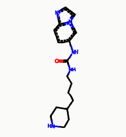 O=C(NCCCCC1CCNCC1)Nc1ccc2nccn2c1